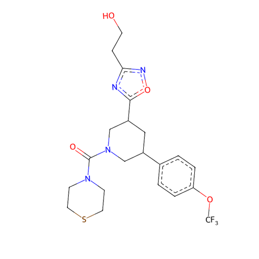 O=C(N1CCSCC1)N1CC(c2ccc(OC(F)(F)F)cc2)CC(c2nc(CCO)no2)C1